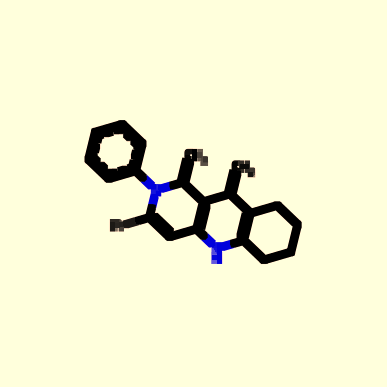 C=C1C2=C(CCCC2)NC2=C1C(=C)N(c1ccccc1)C(C(C)C)=C2